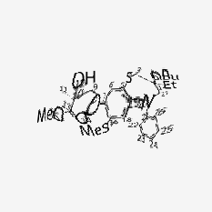 CCCCC1(CC)CSc2cc(OC[C@](C)(O)C(=O)OC)c(SC)cc2N(c2ccccc2)C1